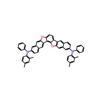 Cc1ccc(N(c2ccccc2)c2ccc3cc4c(cc3c2)oc2c4ccc3oc4cc5cc(N(c6ccccc6)c6ccc(C)cc6C)ccc5cc4c32)c(C)c1